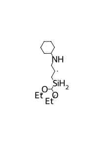 CCOC(OCC)[SiH2]C[CH]CNC1CCCCC1